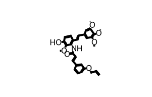 C=CCOc1cccc(/C=C/C(=O)Nc2c(C=Cc3cc(OC)c(OC)c(OC)c3)ccc(O)c2OC)c1